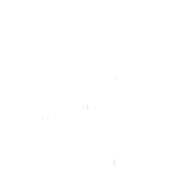 C=C(C)C(=O)OCC(O)CC(CCCCCCCCCC)CCCCCCCCCCCC